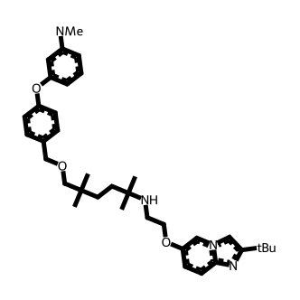 CNc1cccc(Oc2ccc(COCC(C)(C)CCC(C)(C)NCCOc3ccc4nc(C(C)(C)C)cn4c3)cc2)c1